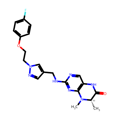 C[C@H]1C(=O)Nc2cnc(NCc3cnn(CCOc4ccc(F)cc4)c3)nc2N1C